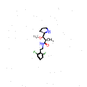 CO[C@@H]([C@H]1CCCN1)[C@@H](C)C(=O)NCCc1c(F)cccc1F